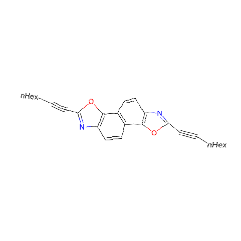 CCCCCCC#Cc1nc2ccc3c(ccc4nc(C#CCCCCCC)oc43)c2o1